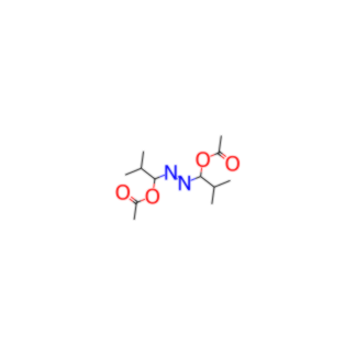 CC(=O)OC(/N=N/C(OC(C)=O)C(C)C)C(C)C